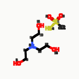 CCS(=O)(=O)S.OCCN(CCO)CCO